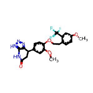 COc1ccc(COc2ccc(C3CC(=O)Nc4[nH]nnc43)cc2OC)c(C(F)(F)F)c1